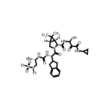 CCCC(NC(=O)[C@@H]1[C@@H]2[C@H](CN1C(=O)[C@@H](NC(=O)N[C@H](CN(CC)S(=O)(=O)CC)C(C)(C)C)C1Cc3ccccc3C1)C2(C)C)C(=O)C(=O)NC1CC1